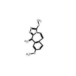 C=C1c2cc(OC)ccc2C=Cn2c(SC)nnc21